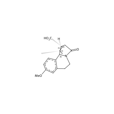 COc1ccc2c(c1)CCN1C(=O)C[C@H]3[C@H](C(=O)O)[C@@H](C)C[C@]231